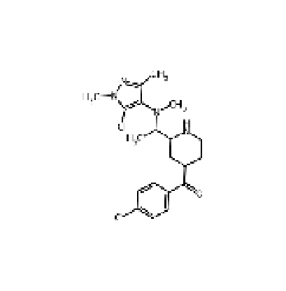 Cc1nn(C)c(Cl)c1N(C)C(C)C1CC(C(=O)c2ccc(Cl)cc2)CCN1